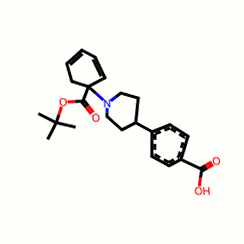 CC(C)(C)OC(=O)C1(N2CCC(c3ccc(C(=O)O)cc3)CC2)C=CC=CC1